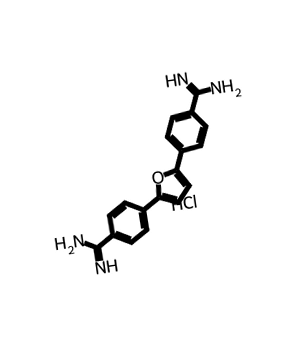 Cl.N=C(N)c1ccc(-c2ccc(-c3ccc(C(=N)N)cc3)o2)cc1